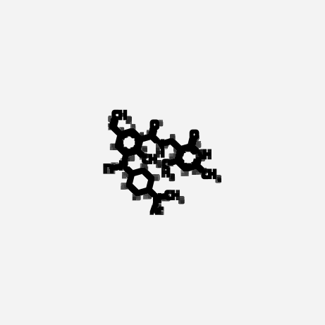 C=Cc1cc(C(=O)NCc2c(C)cc(C)[nH]c2=O)c(C)c(N(CC)C2CCC(N(C)C(C)=O)CC2)c1